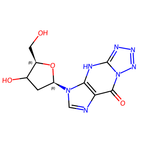 O=c1c2ncn([C@H]3CC(O)[C@@H](CO)O3)c2[nH]c2nnnn12